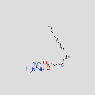 CCCCCC=CCC=CC/C=C\C/C=C\CCCC(=O)OCCN(C)C(=N)N